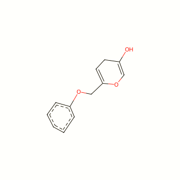 OC1=COC(COc2ccccc2)=CC1